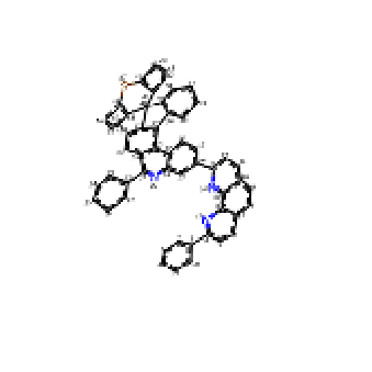 c1ccc(-c2ccc3ccc4ccc(-c5ccc6c(c5)nc(-c5ccccc5)c5ccc7c(c56)-c5ccccc5C75c6ccccc6Sc6ccccc65)nc4c3n2)cc1